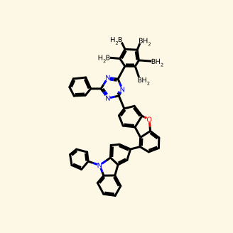 Bc1c(B)c(B)c(-c2nc(-c3ccccc3)nc(-c3ccc4c(c3)oc3cccc(-c5ccc6c(c5)c5ccccc5n6-c5ccccc5)c34)n2)c(B)c1B